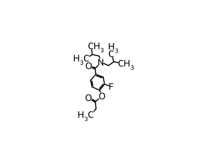 CCC(=O)Oc1ccc(C(=O)N(CC(C)C)CC(C)C)cc1F